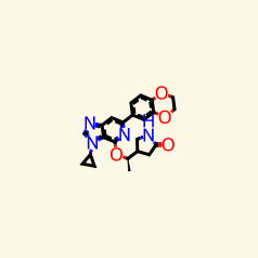 C[C@@H](Oc1nc(-c2ccc3c(c2)OCCO3)cc2ncn(C3CC3)c12)C1CNC(=O)C1